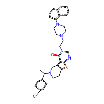 CC(c1ccc(Cl)cc1)N1CCc2sc3ncn(CCN4CCN(c5cccc6ccccc56)CC4)c(=O)c3c2C1